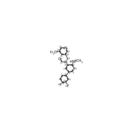 CNc1ncc(-c2ccc(F)c(F)c2)cc1N(C=O)Cc1cncc(C)c1